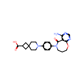 Nc1ncnc2c1C(=O)N(c1ccc(N3CCC4(CC3)CC(C(=O)O)C4)cc1)CCCO2